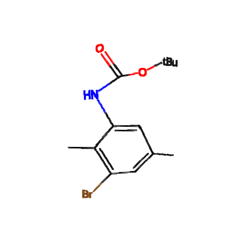 Cc1cc(Br)c(C)c(NC(=O)OC(C)(C)C)c1